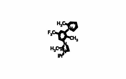 Cc1c(N2C=CN(C(C)C)[C@H]2C)cc(C(F)(F)F)cc1-[n+]1ccccc1C